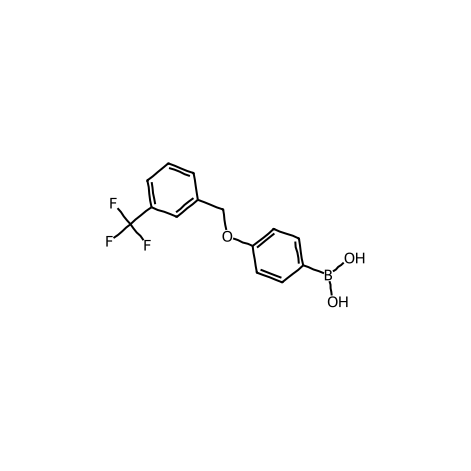 OB(O)c1ccc(OCc2cccc(C(F)(F)F)c2)cc1